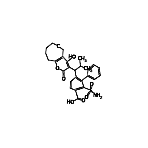 CC(C)C(c1ccc(C(=O)O)c(S(N)(=O)=O)c1-c1ccccc1)c1c(O)c2c(oc1=O)CCCCCC2